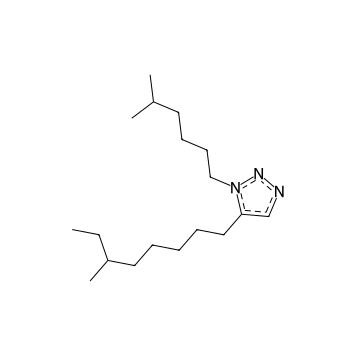 CCC(C)CCCCCc1cnnn1CCCCC(C)C